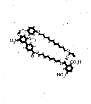 C=CC(=O)OCCCCCCCCCCCOc1ccccc1.CCCCCCCCOc1cc(N)c(-c2ccc(C(=O)OCCCCCCCCOC(=O)c3cc(C(=O)O)ccc3C(=O)O)cc2)cc1[N+](=O)[O-]